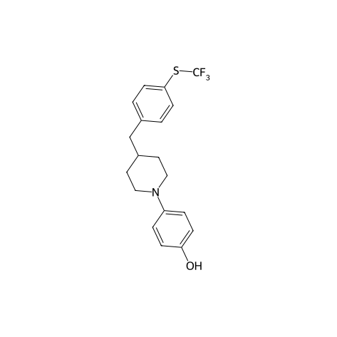 Oc1ccc(N2CCC(Cc3ccc(SC(F)(F)F)cc3)CC2)cc1